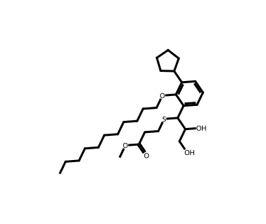 CCCCCCCCCCCOc1c(C2CCCC2)cccc1C(SCCC(=O)OC)C(O)CO